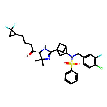 CC1(C)N=C(C23CC(C2)C(N(Cc2ccc(Cl)c(F)c2)S(=O)(=O)c2ccccc2)C3)N[C@H]1C(=O)CCCC1CC1(F)F